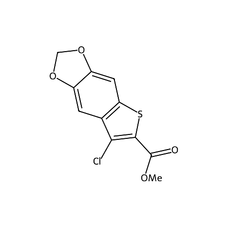 COC(=O)c1sc2cc3c(cc2c1Cl)OCO3